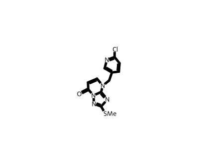 CSc1nc2n(Cc3ccc(Cl)nc3)ccc(=O)n2n1